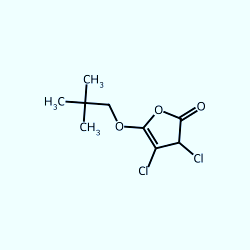 CC(C)(C)COC1=C(Cl)C(Cl)C(=O)O1